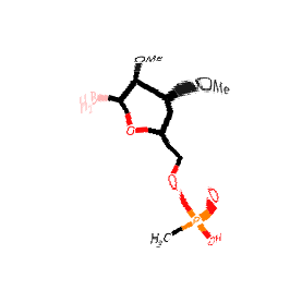 BC1OC(COP(C)(=O)O)C(OC)C1OC